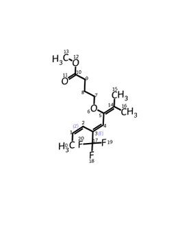 C/C=C\C(=C/C(OCCCC(=O)OC)=C(C)C)C(F)(F)F